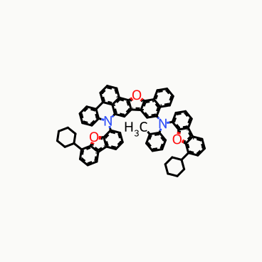 Cc1ccccc1N(c1cc2c3cc4c5c(cccc5c3oc2c2ccccc12)-c1ccccc1N4c1cccc2c1oc1c(C3CCCCC3)cccc12)c1cccc2c1oc1c(C3CCCCC3)cccc12